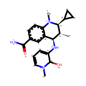 CC(=O)N1c2ccc(C(N)=O)cc2[C@H](NC2=CC=CN(C)C2O)[C@@H](C)[C@@H]1C1CC1